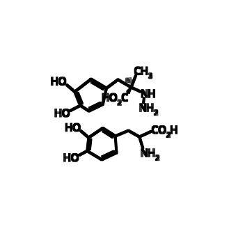 C[C@@](Cc1ccc(O)c(O)c1)(NN)C(=O)O.NC(Cc1ccc(O)c(O)c1)C(=O)O